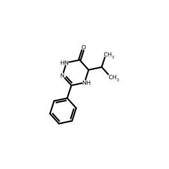 CC(C)C1NC(c2ccccc2)=NNC1=O